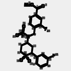 COC(=O)c1ccc(CN(C2CCS(=O)(=O)C(c3cccc(F)c3)C2)[SH](=O)=O)c(F)c1